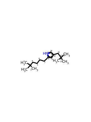 CC(C)(C)CCCCc1cc(CC(C)(C)C)c[nH]1